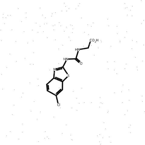 O=C(O)CNC(=O)Nc1nc2ccc(Cl)cc2s1